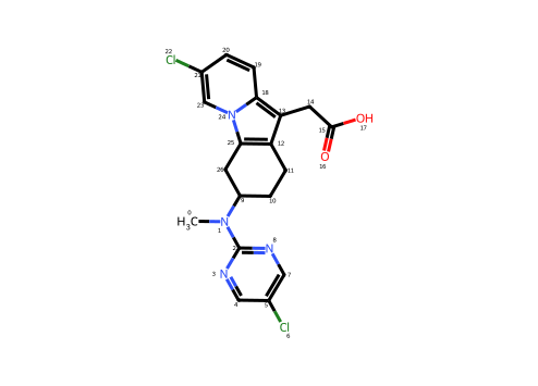 CN(c1ncc(Cl)cn1)C1CCc2c(CC(=O)O)c3ccc(Cl)cn3c2C1